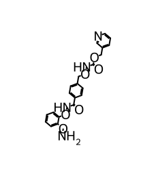 NOc1ccccc1ONC(=O)c1ccc(CONC(=O)OCc2cccnc2)cc1